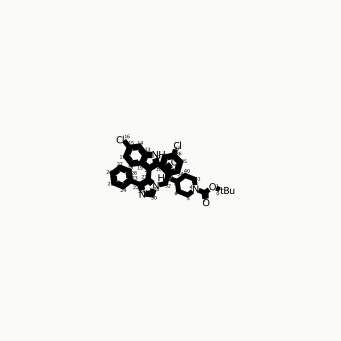 CC(C)(C)OC(=O)N1CCC(NC(=O)c2[nH]c3cc(Cl)ccc3c2-c2c(-c3ccccc3)ncn2Cc2ccc(Cl)cc2)CC1